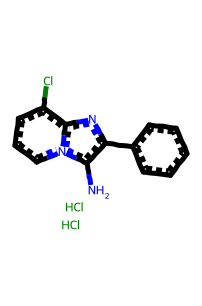 Cl.Cl.Nc1c(-c2ccccc2)nc2c(Cl)cccn12